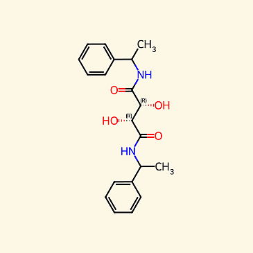 CC(NC(=O)[C@H](O)[C@@H](O)C(=O)NC(C)c1ccccc1)c1ccccc1